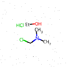 CCO.CN(C)CCl.Cl